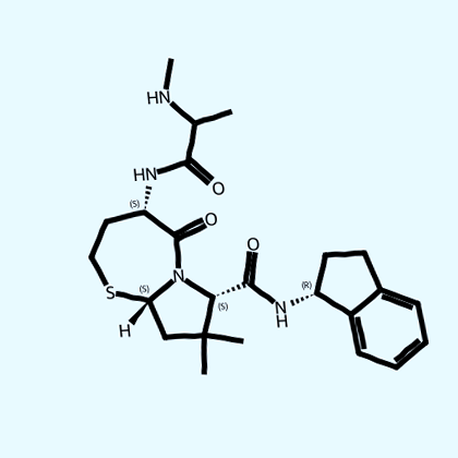 CNC(C)C(=O)N[C@H]1CCS[C@H]2CC(C)(C)[C@@H](C(=O)N[C@@H]3CCc4ccccc43)N2C1=O